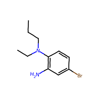 CCCN(CC)c1ccc(Br)cc1N